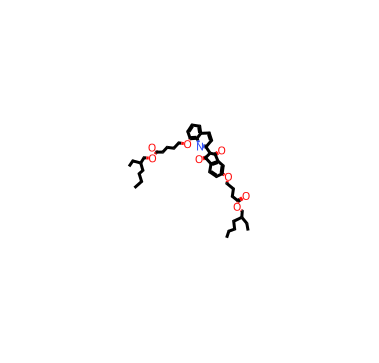 CCCCC(CC)COC(=O)CCCCOc1cccc2ccc(C3C(=O)c4ccc(OCCCC(=O)OCC(CC)CCCC)cc4C3=O)nc12